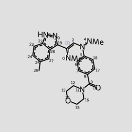 CN/C(=C\N(NC)c1ccc(C(=O)N2CCOCC2)cc1)c1n[nH]c2ccc(C)cc12